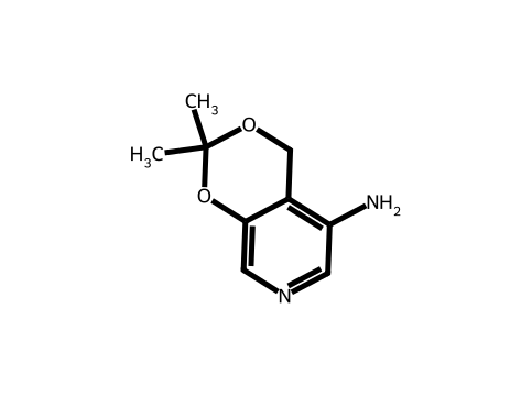 CC1(C)OCc2c(N)cncc2O1